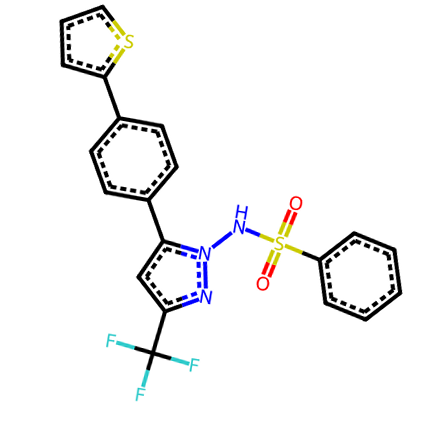 O=S(=O)(Nn1nc(C(F)(F)F)cc1-c1ccc(-c2cccs2)cc1)c1ccccc1